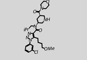 COCCCCc1c(C(=O)N(CC(C)C)[C@@H]2CNC[C@H](C(=O)N3CCOCC3)C2)nnn1-c1cccc(Cl)c1